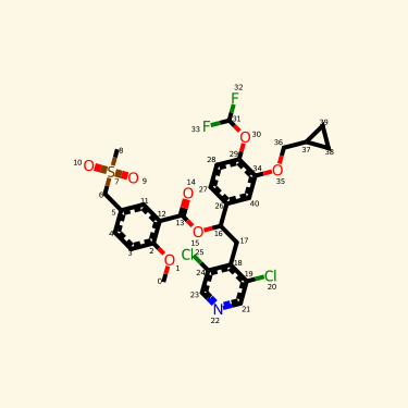 COc1ccc(CS(C)(=O)=O)cc1C(=O)OC(Cc1c(Cl)cncc1Cl)c1ccc(OC(F)F)c(OCC2CC2)c1